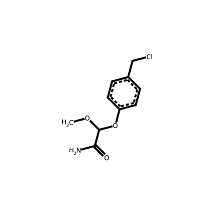 COC(Oc1ccc(CCl)cc1)C(N)=O